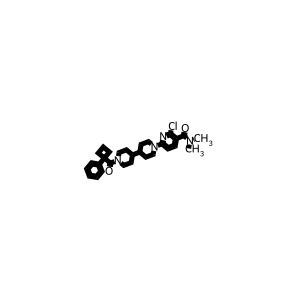 CN(C)C(=O)c1ccc(N2CCC(C3CCN(C(=O)C4(c5ccccc5)CCC4)CC3)CC2)nc1Cl